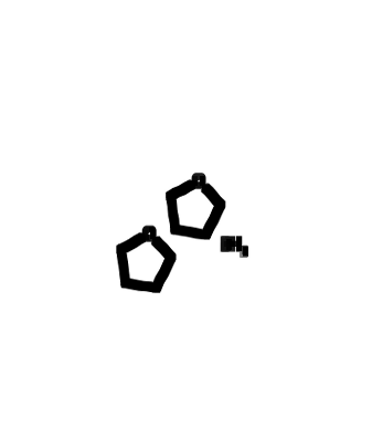 B.C1CCOC1.C1CCOC1